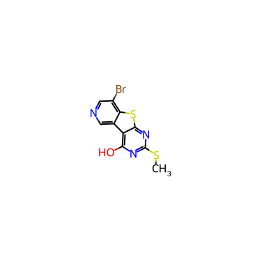 CSc1nc(O)c2c(n1)sc1c(Br)cncc12